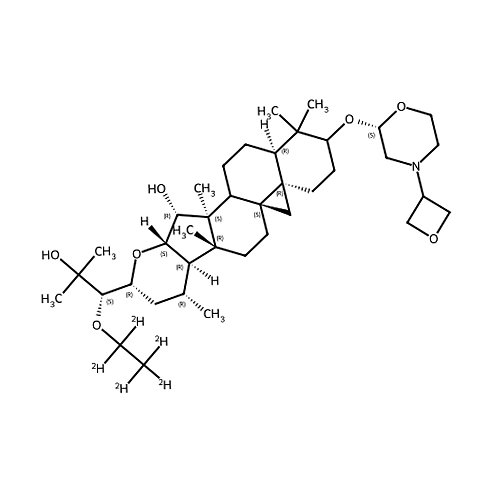 [2H]C([2H])([2H])C([2H])([2H])O[C@@H]([C@H]1C[C@@H](C)[C@H]2[C@H](O1)[C@H](O)[C@@]1(C)C3CC[C@H]4C(C)(C)C(O[C@H]5CN(C6COC6)CCO5)CC[C@@]45C[C@@]35CC[C@]21C)C(C)(C)O